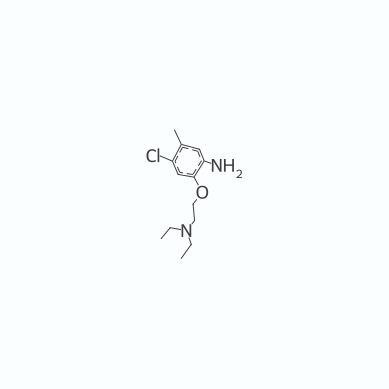 CCN(CC)CCOc1cc(Cl)c(C)cc1N